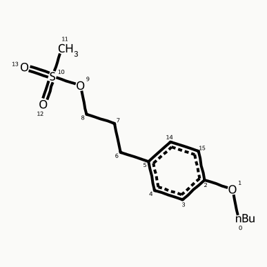 CCCCOc1ccc(CCCOS(C)(=O)=O)cc1